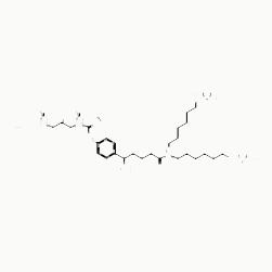 CSCCCCCCN(CCCCCCSC)C(=O)CCCC(C)c1ccc(OC(=O)N(C)CCCN(C)C)cc1